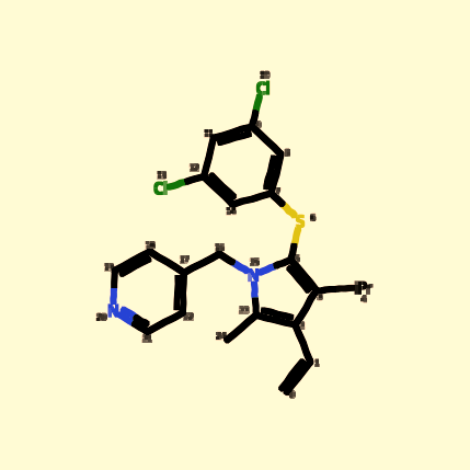 C=Cc1c(C(C)C)c(Sc2cc(Cl)cc(Cl)c2)n(Cc2ccncc2)c1C